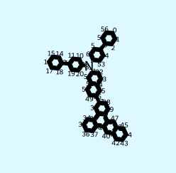 c1ccc(-c2ccc(N(c3ccc(-c4ccccc4)cc3)c3ccc4cc(-c5ccc6c(c5)c5ccccc5c5cc7ccccc7cc65)ccc4c3)cc2)cc1